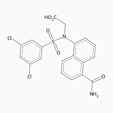 NC(=O)c1cccc2c(N(CC(=O)O)S(=O)(=O)c3cc(Cl)cc(Cl)c3)cccc12